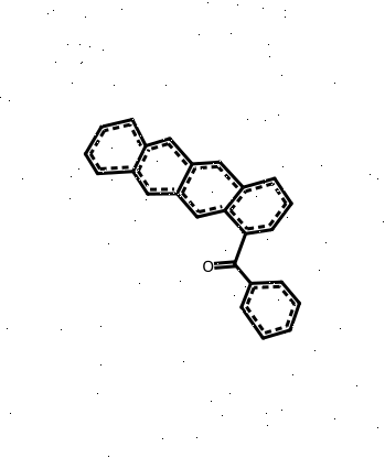 O=C(c1ccccc1)c1cccc2cc3cc4ccccc4cc3cc12